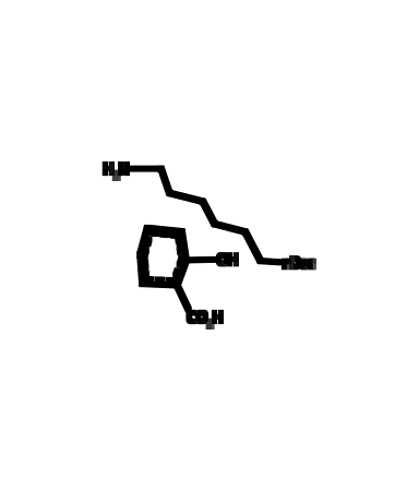 CCCCCCCCCCCCCCCCN.O=C(O)c1ccccc1O